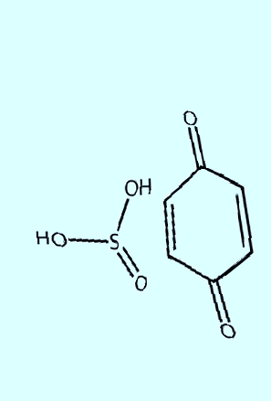 O=C1C=CC(=O)C=C1.O=S(O)O